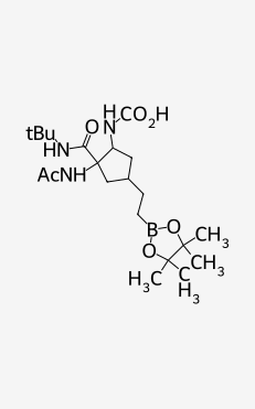 CC(=O)NC1(C(=O)NC(C)(C)C)CC(CCB2OC(C)(C)C(C)(C)O2)CC1NC(=O)O